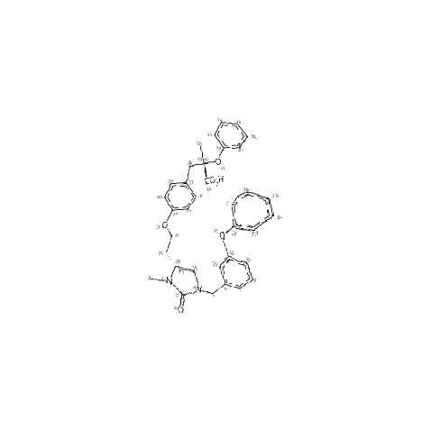 CN1C(=O)N(Cc2cccc(Oc3ccccc3)c2)C[C@H]1CCOc1ccc(C[C@](C)(Oc2ccccc2)C(=O)O)cc1